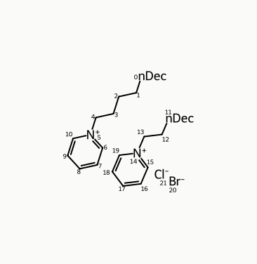 CCCCCCCCCCCCCC[n+]1ccccc1.CCCCCCCCCCCC[n+]1ccccc1.[Br-].[Cl-]